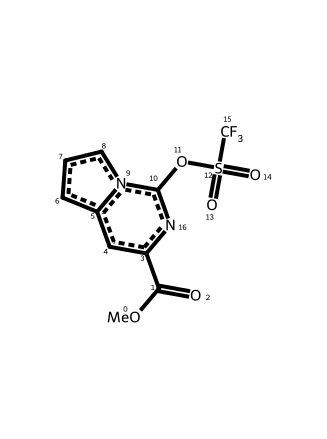 COC(=O)c1cc2cccn2c(OS(=O)(=O)C(F)(F)F)n1